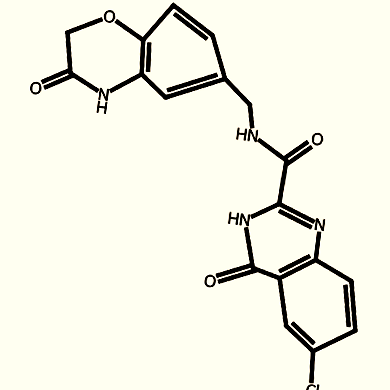 O=C1COc2ccc(CNC(=O)c3nc4ccc(Cl)cc4c(=O)[nH]3)cc2N1